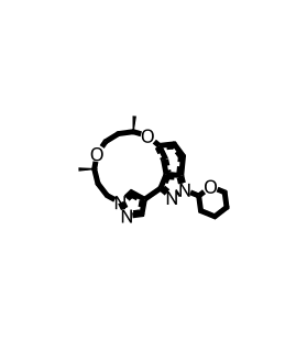 C[C@@H]1CCn2cc(cn2)-c2nn(C3CCCCO3)c3ccc(cc23)O[C@H](C)CCO1